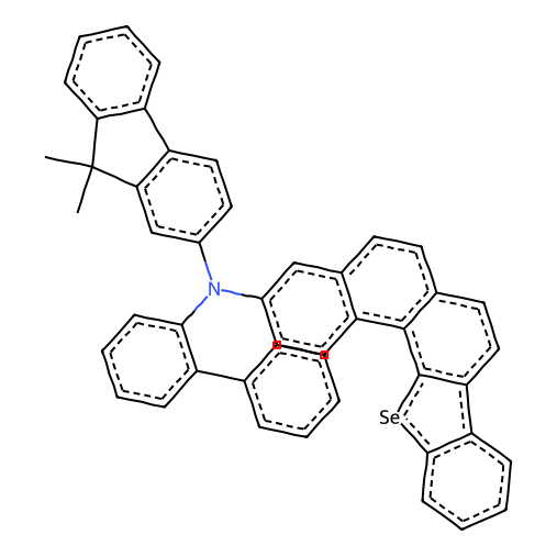 CC1(C)c2ccccc2-c2ccc(N(c3ccc4c(ccc5ccc6c7ccccc7[se]c6c54)c3)c3ccccc3-c3ccccc3)cc21